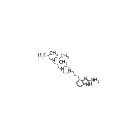 CC(C)CN(CCCN1CCN(CCCc2cccc3[nH]c(N)nc23)CC1)CC(C)C